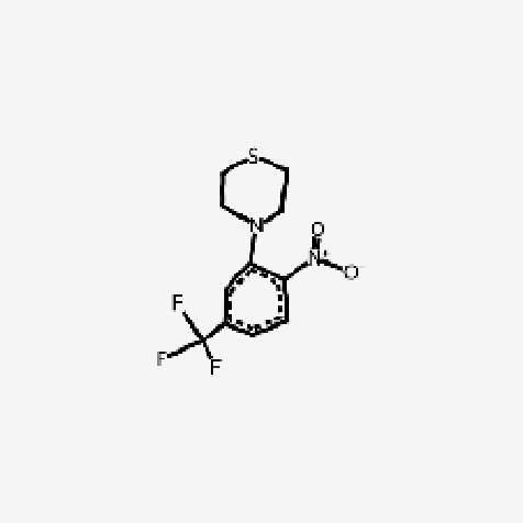 O=[N+]([O-])c1ccc(C(F)(F)F)cc1N1CCSCC1